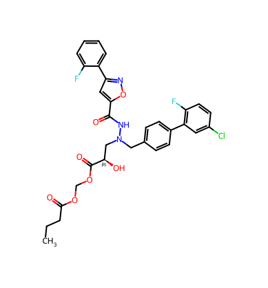 CCCC(=O)OCOC(=O)[C@H](O)CN(Cc1ccc(-c2cc(Cl)ccc2F)cc1)NC(=O)c1cc(-c2ccccc2F)no1